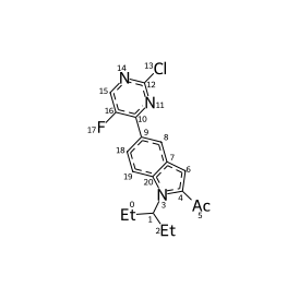 CCC(CC)n1c(C(C)=O)cc2cc(-c3nc(Cl)ncc3F)ccc21